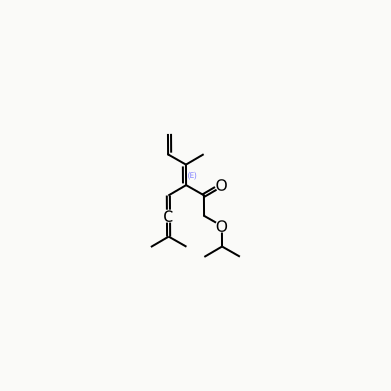 C=C/C(C)=C(\C=C=C(C)C)C(=O)COC(C)C